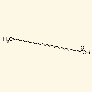 CC=CCCCCCCCCCCCCCCCCCCCCCCCCCCC(=O)O